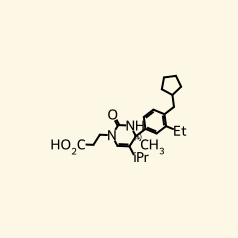 CCc1cc([C@]2(C)NC(=O)N(CCC(=O)O)C=C2C(C)C)ccc1CC1CCCC1